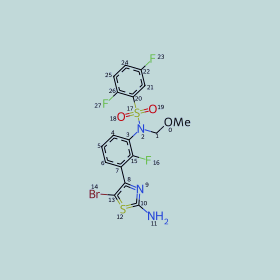 COCN(c1cccc(-c2nc(N)sc2Br)c1F)S(=O)(=O)c1cc(F)ccc1F